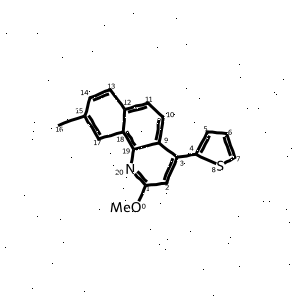 COc1cc(-c2cccs2)c2ccc3ccc(C)cc3c2n1